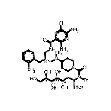 CCCCCCN(C[C@H](O)[C@@H](O)[C@H](O)[C@H](O)CO)N(CC)C(=O)N1CCC(N(C)C[C@@H](CNC(=O)c2nc(Cl)c(N)nc2N)Cc2ccccc2C)CC1